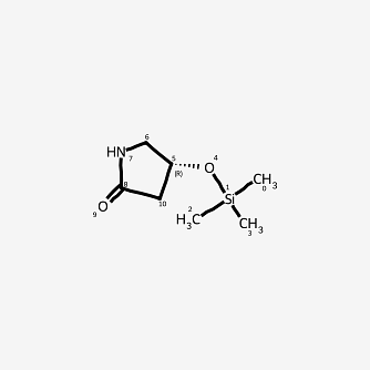 C[Si](C)(C)O[C@H]1CNC(=O)C1